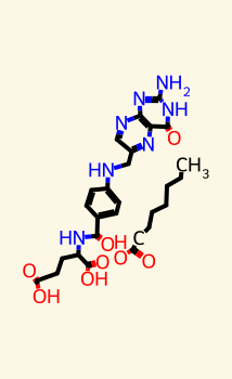 CCCCCCCC(=O)O.Nc1nc2ncc(CNc3ccc(C(=O)NC(CCC(=O)O)C(=O)O)cc3)nc2c(=O)[nH]1